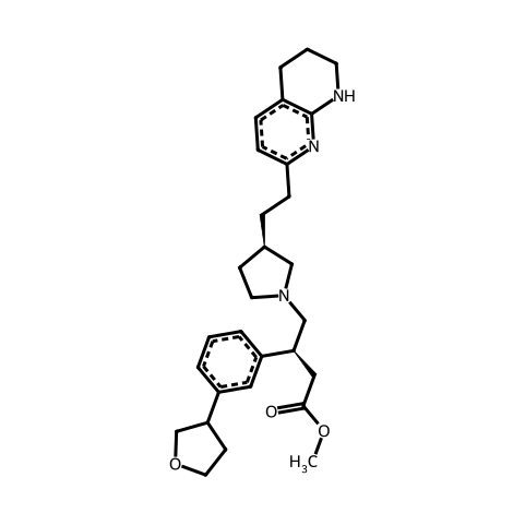 COC(=O)C[C@H](CN1CC[C@@H](CCc2ccc3c(n2)NCCC3)C1)c1cccc(C2CCOC2)c1